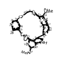 CNc1nc2c3c(c[nH]c3n1)-c1ccc3nc(OC)c(cc3c1)OCCOc1cncc(c1)CO2